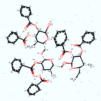 CC[C@H]1O[C@@H](OC[C@H]2O[C@@H](OC[C@H]3OC(O)[C@H](OC(=O)c4ccccc4)[C@@H](OC(=O)c4ccccc4)[C@@H]3C)[C@H](OC(=O)c3ccccc3)[C@@H](OC(=O)c3ccccc3)[C@@H]2C)[C@H](OC(=O)c2ccccc2)[C@@H](OC(=O)c2ccccc2)[C@@H]1C